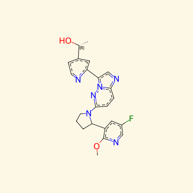 COc1ncc(F)cc1C1CCCN1c1ccc2ncc(-c3cc([C@@H](C)O)ccn3)n2n1